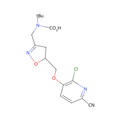 CC(C)(C)N(CC1=NOC(COc2ccc(C#N)nc2Cl)C1)C(=O)O